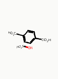 O=C(O)c1ccc(C(=O)O)cc1.O=S(=O)(O)O